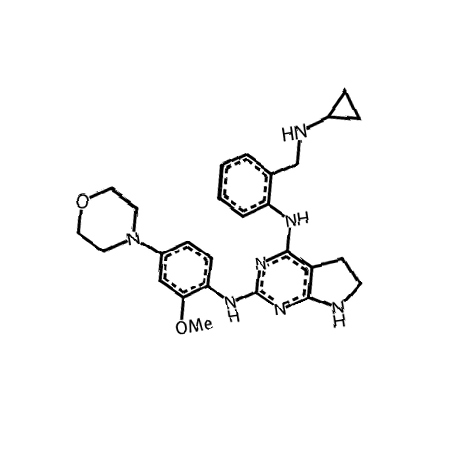 COc1cc(N2CCOCC2)ccc1Nc1nc2c(c(Nc3ccccc3CNC3CC3)n1)CCN2